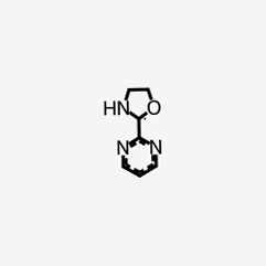 c1cnc([C]2NCCO2)nc1